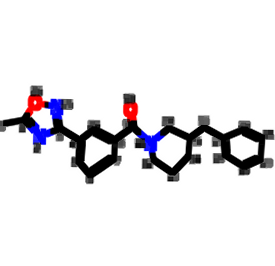 Cc1nc(-c2cccc(C(=O)N3CCCC(Cc4ccccc4)C3)c2)no1